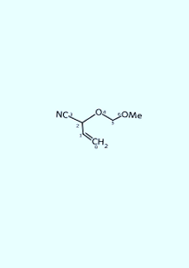 C=CC(C#N)OCOC